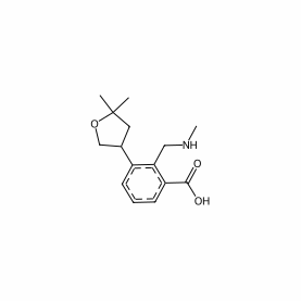 CNCc1c(C(=O)O)cccc1C1COC(C)(C)C1